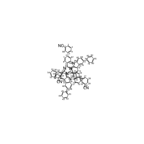 N#Cc1cccc(-c2ccc(-c3nc(-c4cccc(C#N)c4)nc(-c4ccc(-c5cccc(C#N)c5)cc4-n4c5ccc(-c6ccccc6)cc5c5cc(-c6ccccc6)ccc54)n3)c(-n3c4ccc(-c5ccccc5)cc4c4cc(-c5ccccc5)ccc43)c2)c1